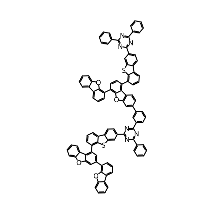 c1ccc(-c2nc(-c3cccc(-c4ccc5c(c4)oc4c(-c6cccc7c6oc6ccccc67)ccc(-c6cccc7c6sc6cc(-c8nc(-c9ccccc9)nc(-c9ccccc9)n8)ccc67)c45)c3)nc(-c3ccc4c(c3)sc3c(-c5cc(-c6cccc7c6oc6ccccc67)cc6oc7ccccc7c56)cccc34)n2)cc1